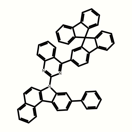 c1ccc(-c2ccc3c4c5ccccc5ccc4n(-c4nc(-c5ccc6c(c5)C5(c7ccccc7-c7ccccc75)c5ccccc5-6)c5ccccc5n4)c3c2)cc1